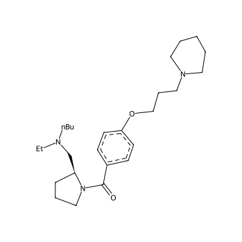 CCCCN(CC)C[C@@H]1CCCN1C(=O)c1ccc(OCCCN2CCCCC2)cc1